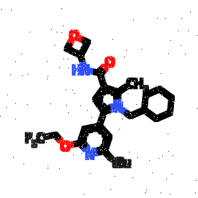 Cc1c(C(=O)NC2COC2)cc(-c2cc(OCC(F)(F)F)nc(C(C)(C)C)c2)n1CC1CCCCC1